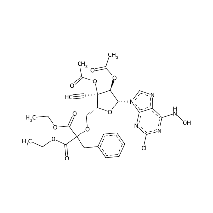 C#C[C@@]1(OC(C)=O)[C@@H](COC(Cc2ccccc2)(C(=O)OCC)C(=O)OCC)O[C@@H](n2cnc3c(NO)nc(Cl)nc32)[C@@H]1OC(C)=O